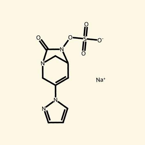 O=C1N2CC(n3cccn3)=CC(C2)N1OS(=O)(=O)[O-].[Na+]